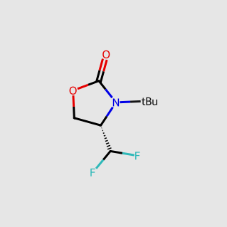 CC(C)(C)N1C(=O)OC[C@H]1C(F)F